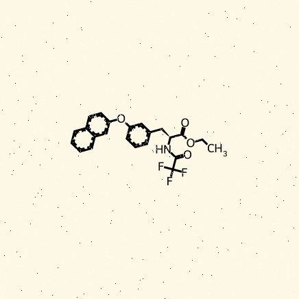 CCOC(=O)[C@H](Cc1cccc(Oc2ccc3ccccc3c2)c1)NC(=O)C(F)(F)F